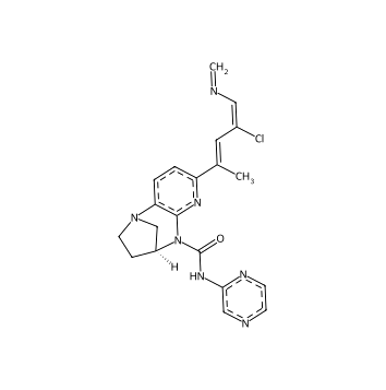 C=N/C=C(Cl)\C=C(/C)c1ccc2c(n1)N(C(=O)Nc1cnccn1)[C@H]1CCN2C1